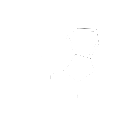 CC1Cc2ccccc2N1[SiH2][SiH3]